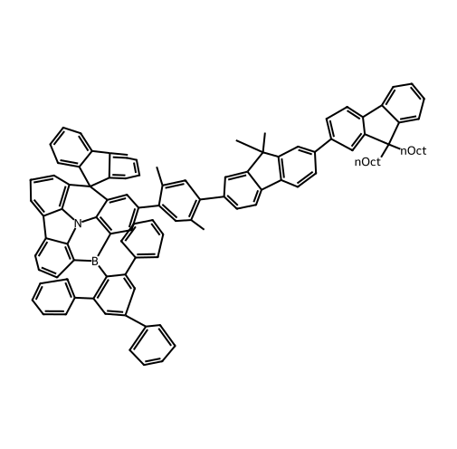 CCCCCCCCC1(CCCCCCCC)c2ccccc2-c2ccc(-c3ccc4c(c3)C(C)(C)c3cc(-c5cc(C)c(-c6cc7c8c(c6)C6(c9ccccc9-c9ccccc96)c6cccc9c%10cccc(c%10n-8c69)B7c6c(-c7ccccc7)cc(-c7ccccc7)cc6-c6ccccc6)cc5C)ccc3-4)cc21